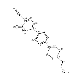 CCCN1CCN(c2ccc(-c3ccc(C#N)c(=O)[nH]3)cc2)CC1